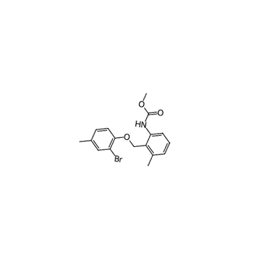 COC(=O)Nc1cccc(C)c1COc1ccc(C)cc1Br